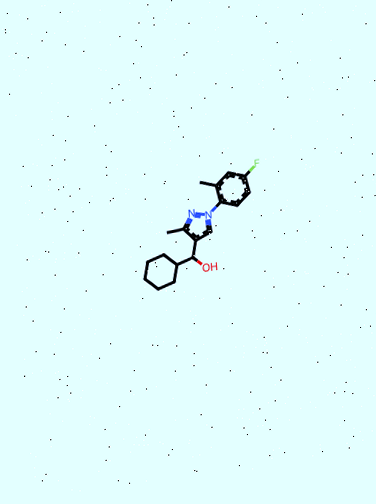 Cc1cc(F)ccc1-n1cc(C(O)C2CCCCC2)c(C)n1